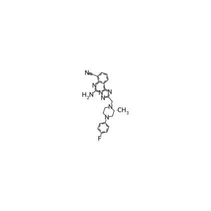 C[C@@H]1CN(c2ccc(F)cc2)CCN1Cc1nc2c3cccc(C#N)c3nc(N)n2n1